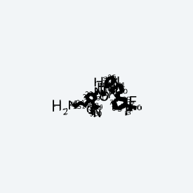 CC(F)(F)c1cccc(-c2ccc3c(n2)N(C(=O)Nc2ccc(CCCN)c(-c4cnco4)c2)[C@H]2CCN3C2)c1